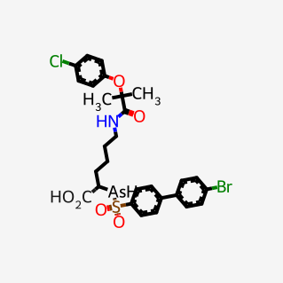 CC(C)(Oc1ccc(Cl)cc1)C(=O)NCCCCC([AsH]S(=O)(=O)c1ccc(-c2ccc(Br)cc2)cc1)C(=O)O